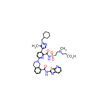 Cc1c(-c2ccc(N3CCc4cccc(C(=O)Nc5nc6cccnc6s5)c4C3)nc2C(=O)NS(=O)(=O)CCN(C)CCC(=O)O)cnn1CC1CCCCC1